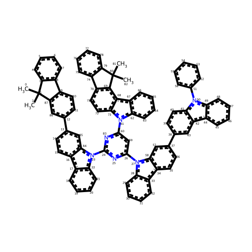 CC1(C)c2ccccc2-c2ccc(-c3ccc4c5ccccc5n(-c5nc(-n6c7ccccc7c7ccc(-c8ccc9c(c8)c8ccccc8n9-c8ccccc8)cc76)cc(-n6c7ccccc7c7c8c(ccc76)-c6ccccc6C8(C)C)n5)c4c3)cc21